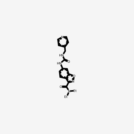 CCN(CC)C(=O)c1noc2cc(NC(=O)NCc3ccncc3)ccc12